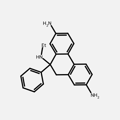 CCNC1(c2ccccc2)Cc2cc(N)ccc2-c2ccc(N)cc21